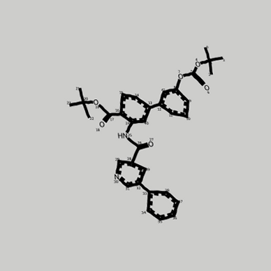 CC(C)(C)OC(=O)Oc1cccc(-c2ccc(C(=O)OC(C)(C)C)c(NC(=O)c3cncc(-c4ccccc4)c3)c2)c1